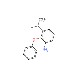 CC(C(=O)O)c1cccc(N)c1Oc1ccccc1